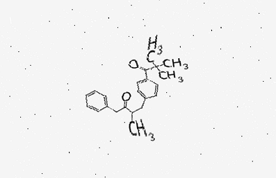 CC(Cc1ccc(C(=O)C(C)(C)C)cc1)C(=O)Cc1ccccc1